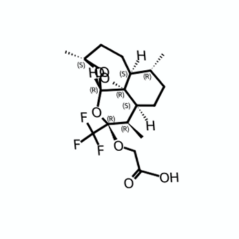 C[C@@H]1CC[C@H]2[C@@H](C)[C@](OCC(=O)O)(C(F)(F)F)O[C@@H]3O[C@]4(C)CC[C@@H]1[C@]32OO4